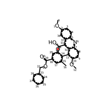 COc1ccc2nc3ccc(OC)c(-c4c(C)cc(C(=O)OCc5ccccc5)cc4C)c3c(C(=O)O)c2c1